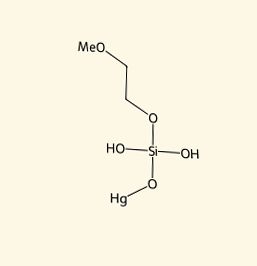 COCCO[Si](O)(O)[O][Hg]